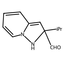 CC(C)C1(C=O)C=C2C=CC=CN2N1